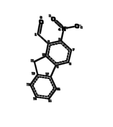 O=Cc1c([N+](=O)[O-])ccc2c1Cc1ccccc1-2